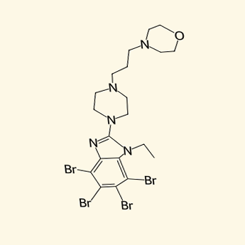 CCn1c(N2CCN(CCCN3CCOCC3)CC2)nc2c(Br)c(Br)c(Br)c(Br)c21